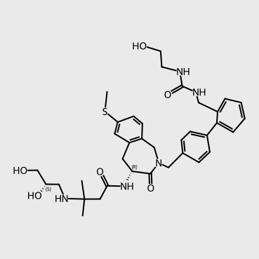 CSc1ccc2c(c1)C[C@@H](NC(=O)CC(C)(C)NC[C@H](O)CO)C(=O)N(Cc1ccc(-c3ccccc3CNC(=O)NCCO)cc1)C2